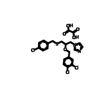 Clc1ccc(CSCC(Cn2ccnc2)OCc2ccc(Cl)c(Cl)c2)cc1.O=C(O)C(=O)O